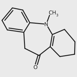 CN1C2=C(CCCC2)C(=O)Cc2ccccc21